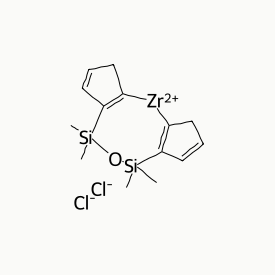 C[Si]1(C)O[Si](C)(C)C2=[C](CC=C2)[Zr+2][C]2=C1C=CC2.[Cl-].[Cl-]